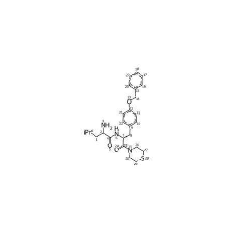 CC(C)CC(N)C(=O)NC(Cc1ccc(OCc2ccccc2)cc1)C(=O)N1CCSCC1